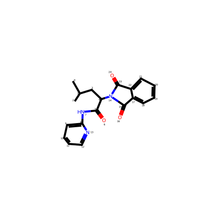 CC(C)CC(C(=O)Nc1ccccn1)N1C(=O)c2ccccc2C1=O